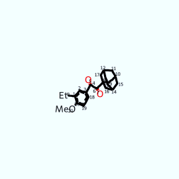 CCc1cc(C(=O)C(=O)C23CC4CC(CC(C4)C2)C3)ccc1OC